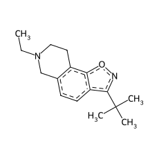 CCN1CCc2c(ccc3c(C(C)(C)C)noc23)C1